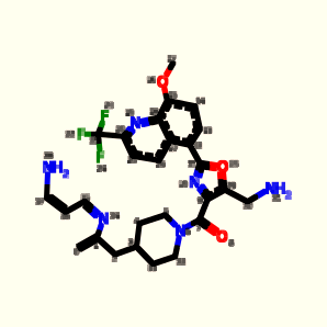 C=C(CC1CCN(C(=O)c2nc(-c3ccc(OC)c4nc(C(F)(F)F)ccc34)oc2CN)CC1)/N=C\C=C/N